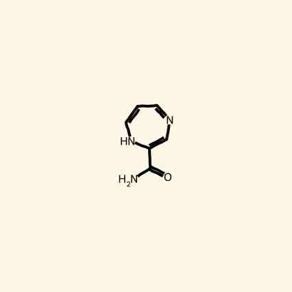 NC(=O)C1=CN=CC=CN1